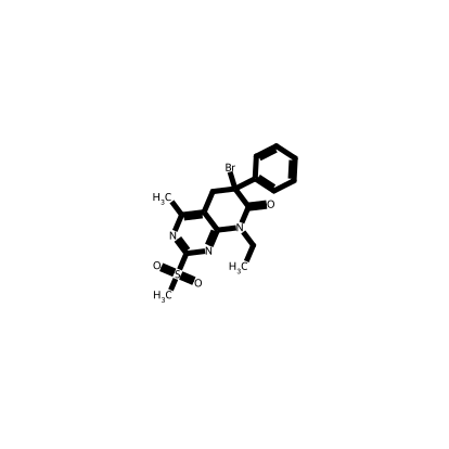 CCN1C(=O)C(Br)(c2ccccc2)Cc2c(C)nc(S(C)(=O)=O)nc21